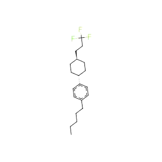 CCCCCc1ccc([C@H]2CC[C@H](CCC(F)(F)F)CC2)cc1